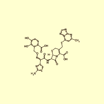 Cc1cc(SCC2=C(C(=O)O)N3C(=O)[C@@H](NC(=O)/C(=N\OCc4c(C(=O)O)ccc(O)c4O)c4csc(N)n4)[C@H]3SC2)n2ncnc2n1